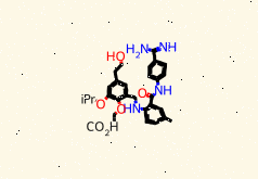 Cc1ccc(NCc2cc(CCO)cc(OC(C)C)c2OCC(=O)O)c(C(=O)Nc2ccc(C(=N)N)cc2)c1